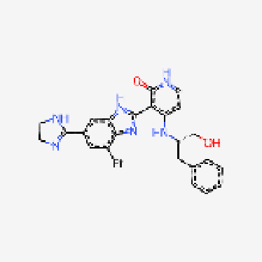 CCc1cc(C2=NCCN2)cc2[nH]c(-c3c(N[C@H](CO)Cc4ccccc4)cc[nH]c3=O)nc12